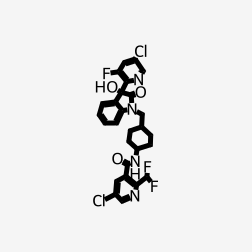 O=C(NC1CCC(CN2C(=O)C(O)(c3ncc(Cl)cc3F)c3ccccc32)CC1)c1cc(Cl)cnc1C(F)F